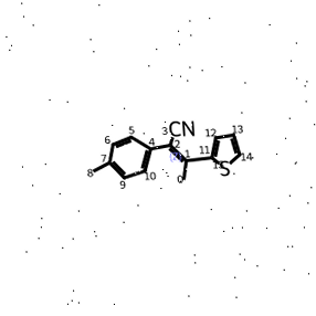 C/C(=C(/C#N)c1ccc(C)cc1)c1cccs1